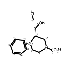 CCl.O=C(O)N1CCN[C@H](CO)C1.c1ccccc1